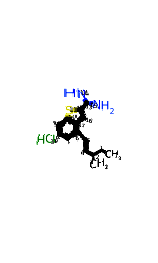 CC[C@@H](C)/C=C/c1cccc2sc(C(=N)N)cc12.Cl